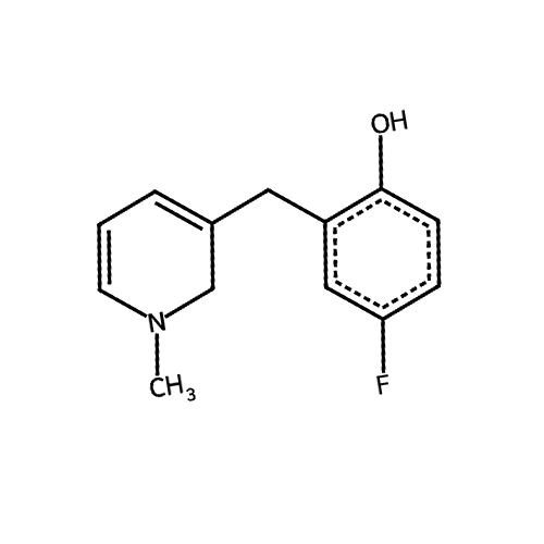 CN1C=CC=C(Cc2cc(F)ccc2O)C1